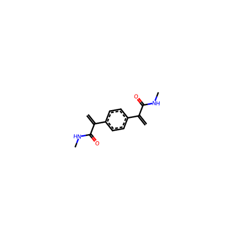 C=C(C(=O)NC)c1ccc(C(=C)C(=O)NC)cc1